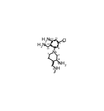 CN/C=C1/CCN(c2cc(Cl)cc(N)c2CN)CC1N